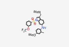 CNCc1cn(S(=O)(=O)c2cccc(OC(F)(F)F)c2)c2cc(Nc3ccc(OC)cc3C)ccc12